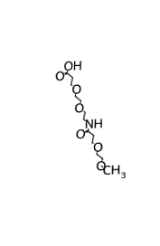 COCCOCCC(=O)NCCOCCOCCC(=O)O